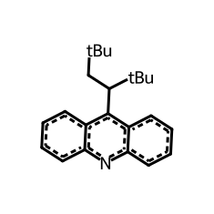 CC(C)(C)CC(c1c2ccccc2nc2ccccc12)C(C)(C)C